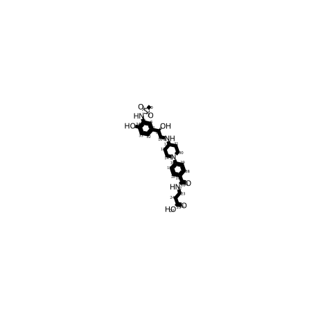 CS(=O)(=O)Nc1cc([C@@H](O)CNC2CCN(c3ccc(C(=O)NCCC(=O)O)cc3)CC2)ccc1O